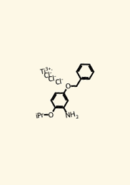 CC(C)Oc1ccc(OCc2ccccc2)cc1N.[Cl-].[Cl-].[Cl-].[Ti+3]